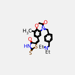 CCN(CC)Cc1ccc(CN2C(=O)COc3c(C)cc(C=C4SC(=S)NC4=O)cc32)cc1